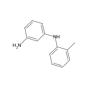 Cc1ccccc1Nc1cccc(N)c1